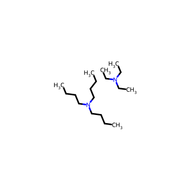 CCCCN(CCCC)CCCC.CCN(CC)CC